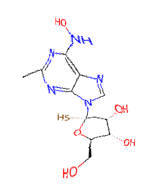 Cc1nc(NO)c2ncn([C@]3(S)O[C@H](CO)[C@@H](O)[C@H]3O)c2n1